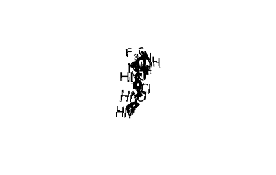 O=C(Nc1ccc(C(=O)NC2CC3CNCC32)c(Cl)c1)c1ncc(Cc2c(C(F)(F)F)n[nH]c2[C@@H]2CC2(F)F)[nH]1